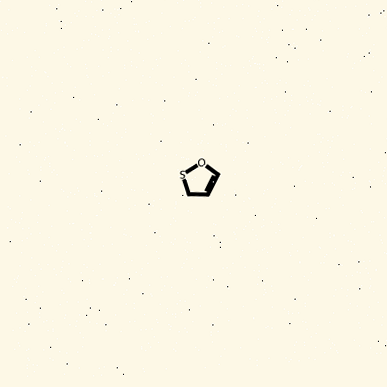 C1=COSC1